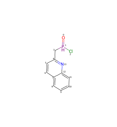 O=[PH](Cl)Cc1ccc2ccccc2n1